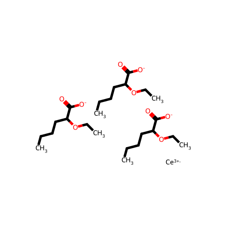 CCCCC(OCC)C(=O)[O-].CCCCC(OCC)C(=O)[O-].CCCCC(OCC)C(=O)[O-].[Ce+3]